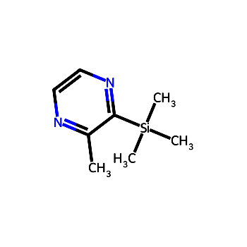 Cc1nccnc1[Si](C)(C)C